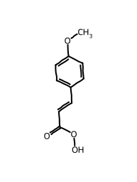 COc1ccc(C=CC(=O)OO)cc1